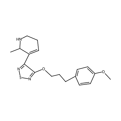 COc1ccc(CCCOc2nsnc2C2=CCCNC2C)cc1